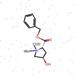 CC(C)(C)[N+]1(C(=O)[O-])C[C@H](O)C[C@H]1C(=O)OCc1ccccc1